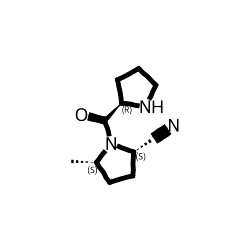 C[C@H]1CC[C@@H](C#N)N1C(=O)[C@H]1CCCN1